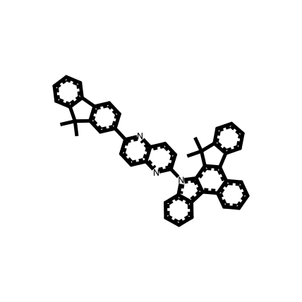 CC1(C)c2ccccc2-c2ccc(-c3ccc4nc(-n5c6ccccc6c6c7ccccc7c7c(c65)C(C)(C)c5ccccc5-7)ccc4n3)cc21